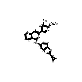 COc1ncc(-c2cc3ncccc3c(Nc3ccc4nc(C5CC5)sc4c3)n2)cc1F